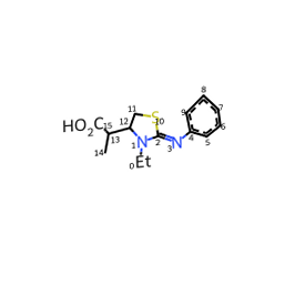 CCN1C(=Nc2ccccc2)SCC1C(C)C(=O)O